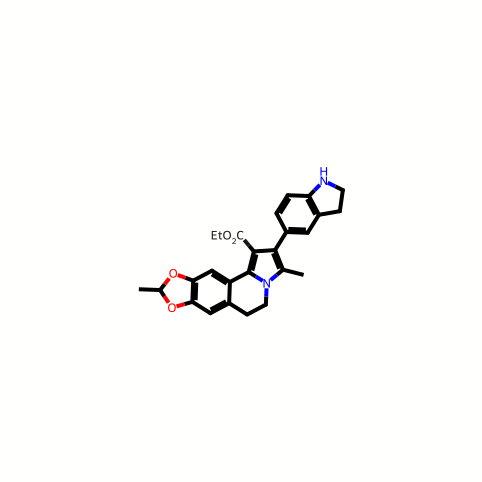 CCOC(=O)c1c(-c2ccc3c(c2)CCN3)c(C)n2c1-c1cc3c(cc1CC2)OC(C)O3